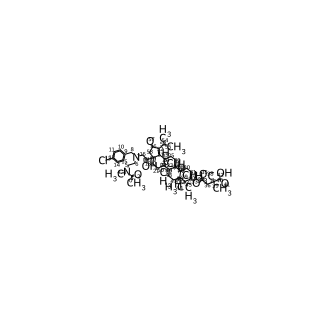 CC(=O)N(C)CCN(Cc1ccc(Cl)cc1)C[C@H](O)[C@@]12CC[C@]3(C)[C@H](CC[C@@H]4[C@@]5(C)CC[C@H](OC(=O)CC(C)(C)C(=O)O)C(C)(C)[C@@H]5CC[C@]43C)C1=C(C(C)C)C(=O)C2